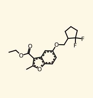 CCOC(=O)c1c(C)oc2ccc(OCC3CCCC3(F)F)cc12